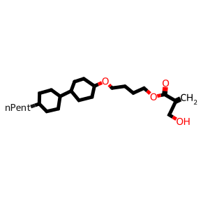 C=C(CO)C(=O)OCCCCOC1CCC(C2CCC(CCCCC)CC2)CC1